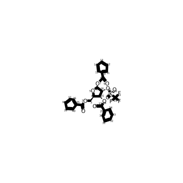 O=C(OC[C@H]1O[C@H](OC(=O)c2ccccc2)[C@H](OS(=O)(=O)C(F)(F)F)[C@@H]1OC(=O)c1ccccc1)c1ccccc1